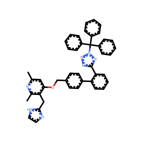 Cc1cc(OCc2ccc(-c3ccccc3-c3nnn(C(c4ccccc4)(c4ccccc4)c4ccccc4)n3)cc2)c(Cc2ncc[nH]2)c(C)n1